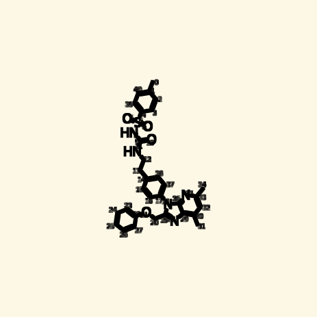 Cc1ccc(S(=O)(=O)NC(=O)NCCc2ccc(-n3c(COc4ccccc4)nc4c(C)cc(C)nc43)cc2)cc1